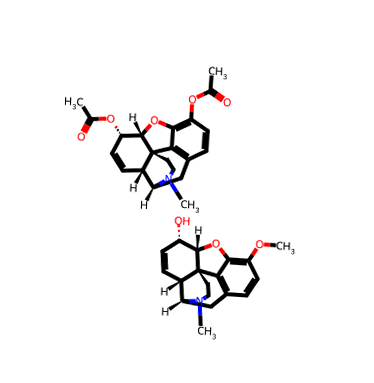 CC(=O)Oc1ccc2c3c1O[C@H]1[C@@H](OC(C)=O)C=C[C@H]4[C@@H](C2)N(C)CC[C@@]341.COc1ccc2c3c1O[C@H]1[C@@H](O)C=C[C@H]4[C@@H](C2)N(C)CC[C@@]341